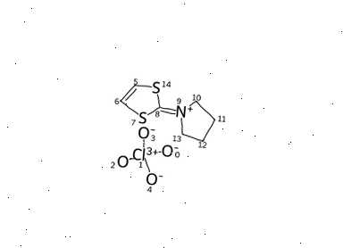 [O-][Cl+3]([O-])([O-])[O-].c1csc(=[N+]2CCCC2)s1